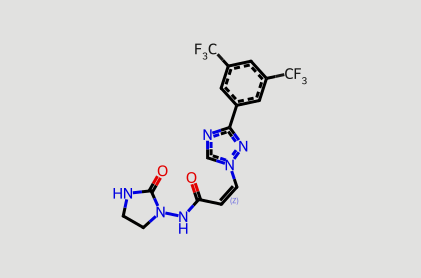 O=C(/C=C\n1cnc(-c2cc(C(F)(F)F)cc(C(F)(F)F)c2)n1)NN1CCNC1=O